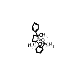 CC(ON1C(C)(C)CC[C@@]1(C)c1ccccc1)c1ccccc1